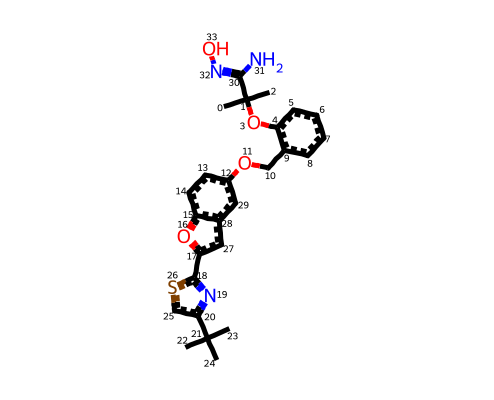 CC(C)(Oc1ccccc1COc1ccc2oc(-c3nc(C(C)(C)C)cs3)cc2c1)C(N)=NO